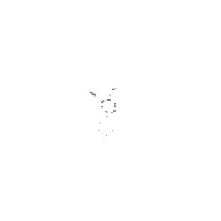 CN(C)/C=N/c1ccc(C2CCNCC2)cc1C#N